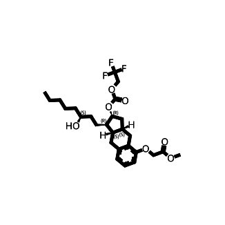 CCCCC[C@H](O)CC[C@@H]1[C@H]2Cc3cccc(OCC(=O)OC)c3C[C@H]2C[C@H]1OC(=O)OCC(F)(F)F